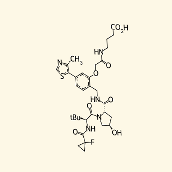 Cc1ncsc1-c1ccc(CNC(=O)[C@@H]2C[C@@H](O)CN2C(=O)[C@@H](NC(=O)C2(F)CC2)C(C)(C)C)c(OCC(=O)NCCCC(=O)O)c1